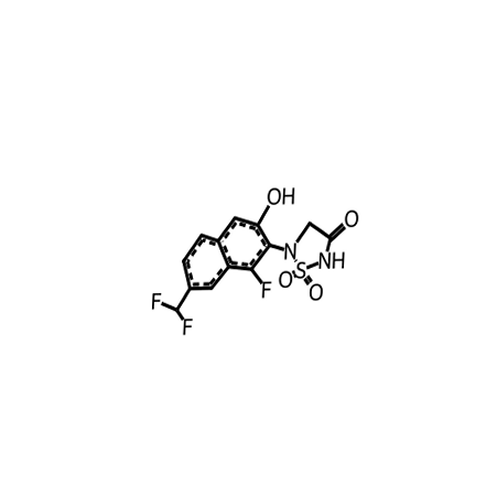 O=C1CN(c2c(O)cc3ccc(C(F)F)cc3c2F)S(=O)(=O)N1